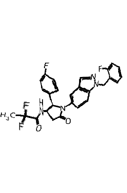 CC(F)(F)C(=O)NC1CC(=O)N(c2ccc3c(cnn3Cc3ccccc3F)c2)[C@@H]1c1ccc(F)cc1